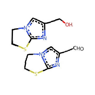 O=Cc1cn2c(n1)SCC2.OCc1cn2c(n1)SCC2